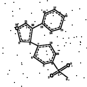 CS(=O)(=O)c1ccc(-c2cocc2-c2ccccc2)cc1